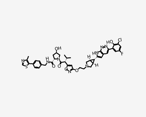 Cc1ncsc1-c1ccc(CNC(=O)[C@@H]2C[C@@H](O)CN2C(=O)[C@@H](c2cc(OCCN3C[C@@H]4[C@H](C3)[C@H]4c3cc4cc(-c5cc(F)cc(Cl)c5O)nnc4[nH]3)no2)C(C)C)cc1